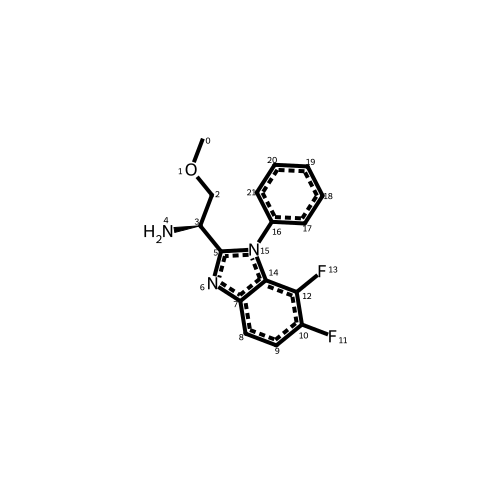 COC[C@H](N)c1nc2ccc(F)c(F)c2n1-c1ccccc1